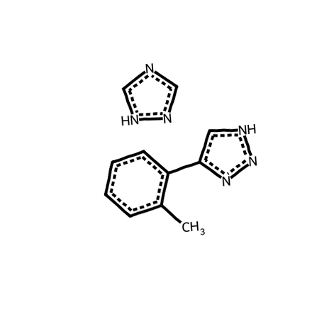 Cc1ccccc1-c1c[nH]nn1.c1nc[nH]n1